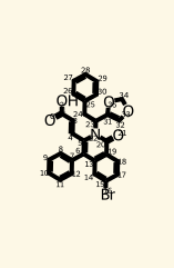 O=C(O)C=Cc1c(-c2ccccc2)c2cc(Br)ccc2c(=O)n1C(Cc1ccccc1)C1=COCO1